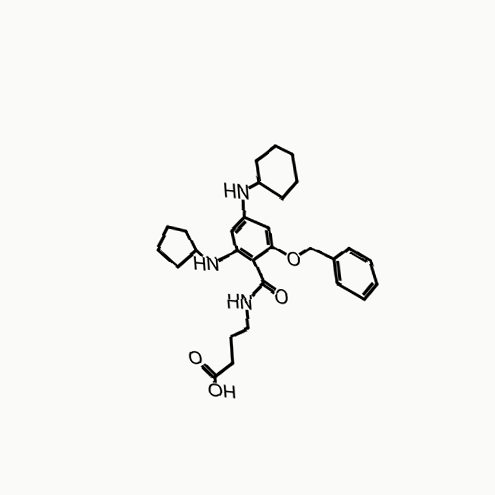 O=C(O)CCCNC(=O)c1c(NC2CCCC2)cc(NC2CCCCC2)cc1OCc1ccccc1